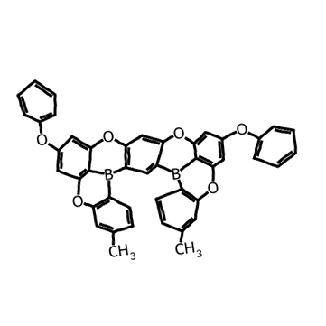 Cc1ccc2c(c1)Oc1cc(Oc3ccccc3)cc3c1B2c1cc2c(cc1O3)Oc1cc(Oc3ccccc3)cc3c1B2c1ccc(C)cc1O3